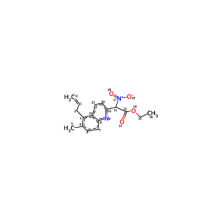 C=CCc1c(C)ccc2nc(C(C(=O)OCC)[N+](=O)[O-])ccc12